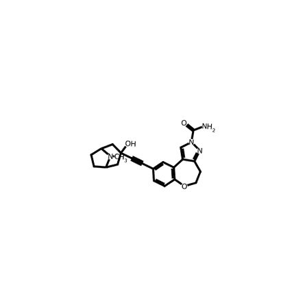 CN1C2CCC1CC(O)(C#Cc1ccc3c(c1)-c1cn(C(N)=O)nc1CCO3)C2